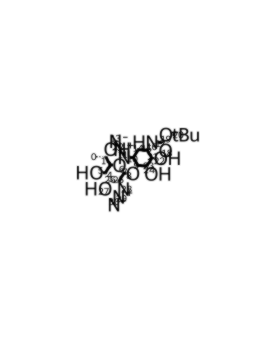 C[C@H](O)C(CO)O[C@H](O[C@@H]1C(N=[N+]=[N-])C[C@@H](NC(=O)OC(C)(C)C)[C@@H](O)C1O)[C@@H](CO)N=[N+]=[N-]